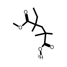 [2H]OC(=O)C(C)(C)CC(C)(CC)C(=O)OC